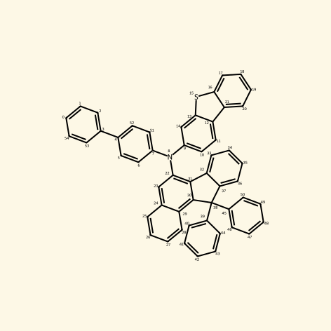 c1ccc(-c2ccc(N(c3ccc4c(c3)sc3ccccc34)c3cc4ccccc4c4c3-c3ccccc3C4(c3ccccc3)c3ccccc3)cc2)cc1